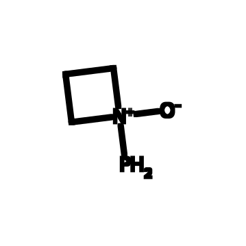 [O-][N+]1(P)CCC1